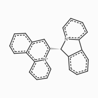 c1ccc2c(c1)-c1cccc[n+]1[C@H]2c1cc2ccccc2c2cccc[n+]12